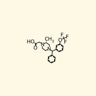 C[C@@H]1CN(C(c2ccccc2)c2cccc(OC(F)(F)F)c2)CCN1CC(=O)O